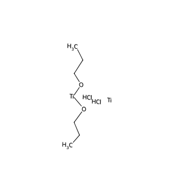 CCC[O][Ti][O]CCC.Cl.Cl.[Ti]